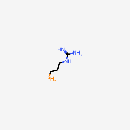 N=C(N)NCCCP